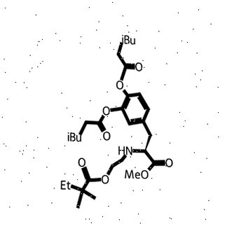 CCC(C)CC(=O)Oc1ccc(C[C@H](NCCOC(=O)C(C)(C)CC)C(=O)OC)cc1OC(=O)CC(C)CC